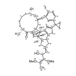 CC[C@H]1CCCC[C@@H](C)C(=O)C2=C[C@@H]3[C@@H](c4nc(C5(c6ccc(F)cc6)CC5)sc4C4C[C@@H](OC(O)/C(OC)=C(/C)OC)C[C@H]43)[C@@H]2CC(=O)O1